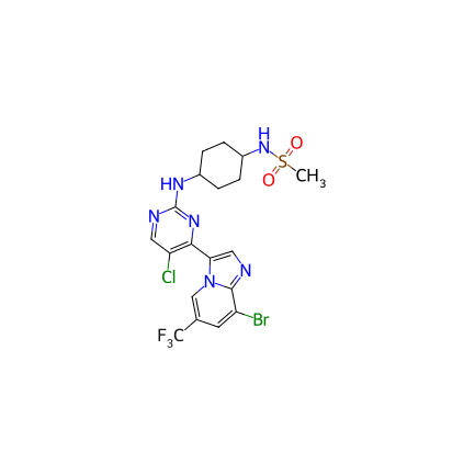 CS(=O)(=O)NC1CCC(Nc2ncc(Cl)c(-c3cnc4c(Br)cc(C(F)(F)F)cn34)n2)CC1